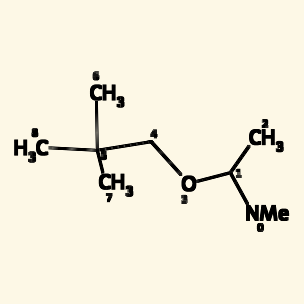 CNC(C)OCC(C)(C)C